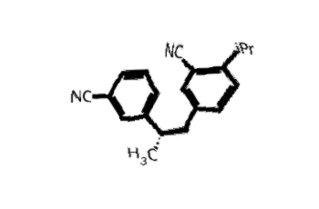 CC(C)c1ccc(C[C@H](C)c2cccc(C#N)c2)cc1C#N